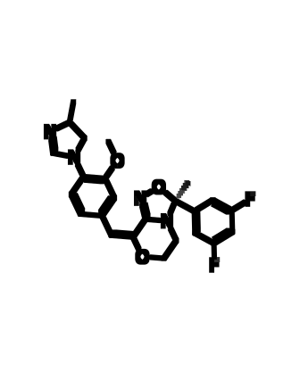 COc1cc(/C=C2/OCCN3C2=NO[C@@]3(C)c2cc(F)cc(F)c2)ccc1N1C=NC(C)C1